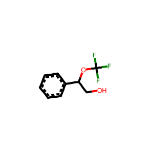 OCC(OC(F)(F)F)c1ccccc1